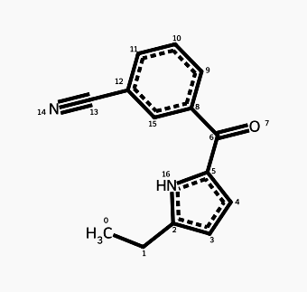 CCc1ccc(C(=O)c2cccc(C#N)c2)[nH]1